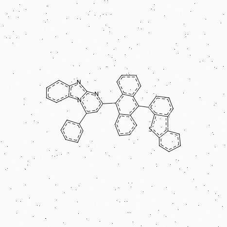 c1ccc(-c2cc(-c3c4ccccc4c(-c4cccc5c4sc4ccccc45)c4ccccc34)nc3nc4ccccc4n23)cc1